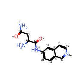 NC(=O)CC(N)C(=O)Nc1ccc2cnccc2c1